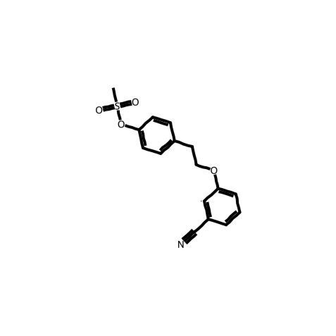 CS(=O)(=O)Oc1ccc(CCOc2[c]c(C#N)ccc2)cc1